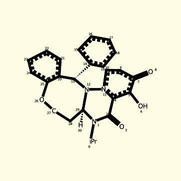 CC(C)N1C(=O)c2c(O)c(=O)ccn2N2[C@@H](c3ccccc3)c3ccccc3OCC[C@H]12